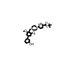 COc1cc(-c2cccc(O)c2)cc(OC)c1CN1CCN(c2ccc(C(=O)OC(C)(C)C)nn2)CC1